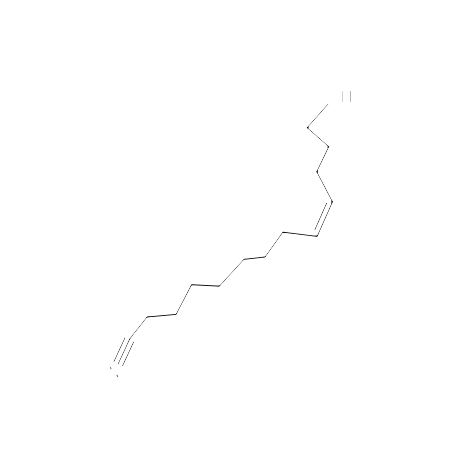 CCCC/C=C\CCCCCCCC#N